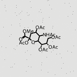 COC(=O)C1(OC(C)=O)CC(OC(C)=O)C(NC(C)=O)C([C@H](OC(C)=O)[C@@H](COC(C)=O)OC(C)=O)O1